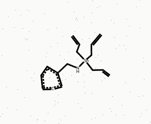 C=C[CH2][Sn]([CH2]C=C)([CH2]C=C)[NH]Cc1ccccc1